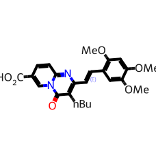 CCCCc1c(/C=C/c2cc(OC)c(OC)cc2OC)nc2ccc(C(=O)O)cn2c1=O